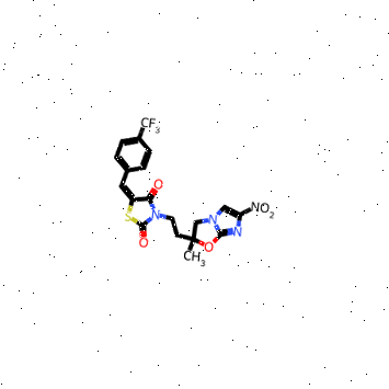 CC1(CCN2C(=O)SC(=Cc3ccc(C(F)(F)F)cc3)C2=O)Cn2cc([N+](=O)[O-])nc2O1